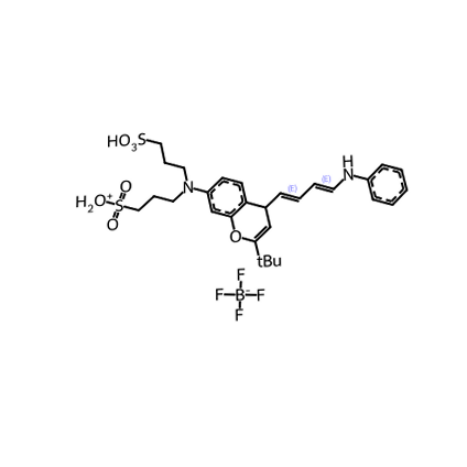 CC(C)(C)C1=CC(/C=C/C=C/Nc2ccccc2)c2ccc(N(CCCS(=O)(=O)O)CCCS(=O)(=O)[OH2+])cc2O1.F[B-](F)(F)F